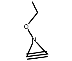 CCON1C#C1